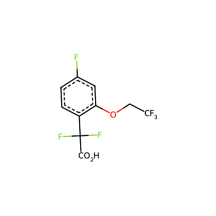 O=C(O)C(F)(F)c1ccc(F)cc1OCC(F)(F)F